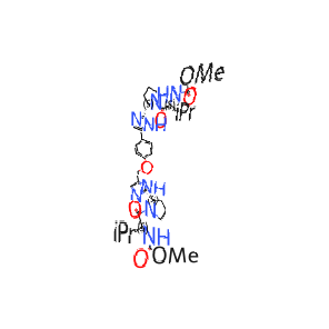 COC(=O)N[C@H](C(=O)N1CCC[C@H]1c1ncc(COc2ccc(-c3cnc([C@@H]4CCCN4C(=O)[C@@H](NC(=O)OC)C(C)C)[nH]3)cc2)[nH]1)C(C)C